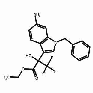 CCOC(=O)C(O)(c1cn(Cc2ccccc2)c2cc(N)ccc12)C(F)(F)F